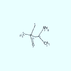 CC(N)P(C)(=O)I